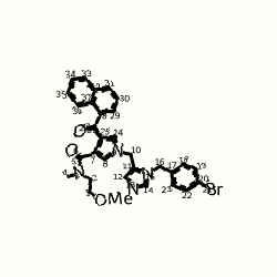 COCCN(C)C(=O)c1cn(Cc2cncn2Cc2ccc(Br)cc2)cc1C(=O)c1cccc2ccccc12